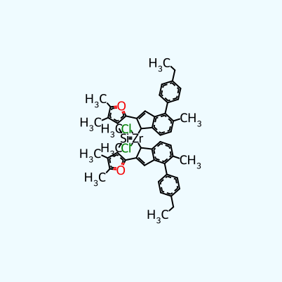 CCc1ccc(-c2c(C)ccc3c2C=C(c2cc(C)c(C)o2)[CH]3[Zr]([Cl])([Cl])([CH]2C(c3cc(C)c(C)o3)=Cc3c2ccc(C)c3-c2ccc(CC)cc2)=[Si](C)C)cc1